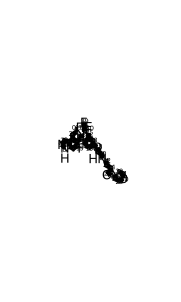 C[C@@H]1Cc2c(ccc3[nH]ncc23)[C@@H](c2c(F)cc(OCCNCCCC(=O)N3CCOCC3)cc2F)N1CC(F)(F)F